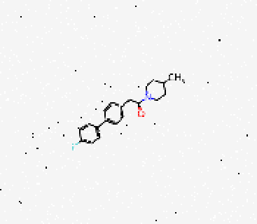 CC1CCN(C(=O)Cc2ccc(-c3ccc(F)cc3)cc2)CC1